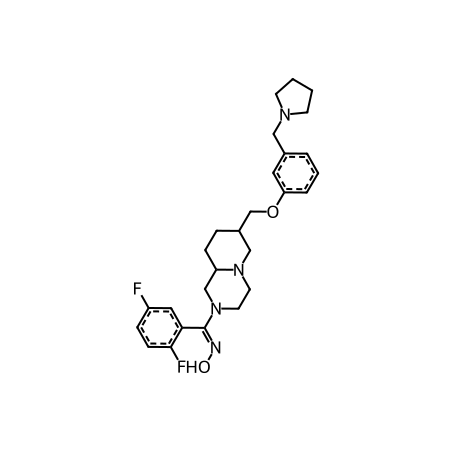 ON=C(c1cc(F)ccc1F)N1CCN2CC(COc3cccc(CN4CCCC4)c3)CCC2C1